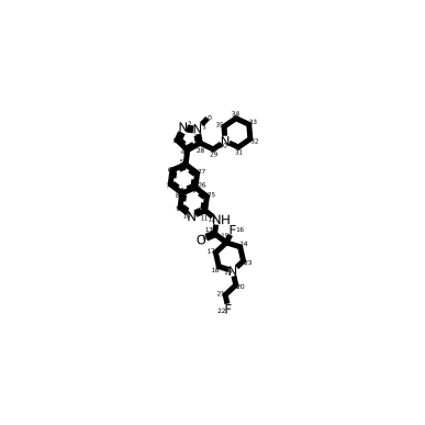 Cn1ncc(-c2ccc3cnc(NC(=O)C4(F)CCN(CCF)CC4)cc3c2)c1CN1CCCCC1